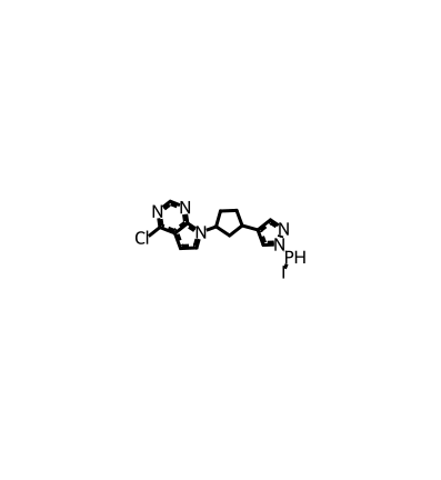 Clc1ncnc2c1ccn2C1CCC(c2cnn(PI)c2)C1